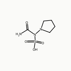 NC(=O)N(N1CCCC1)S(=O)(=O)O